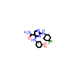 NC(=O)c1cnc(NC2CCC(F)(F)CC2)nc1N[C@@H]1CCC[C@H](O)C1